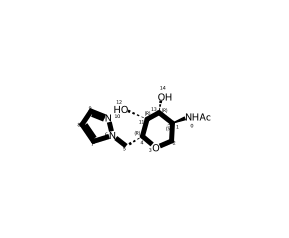 CC(=O)N[C@H]1CO[C@H](Cn2cccn2)[C@H](O)[C@@H]1O